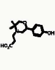 CC1(C)COC(c2ccc(O)cc2)CN1CCC(=O)O